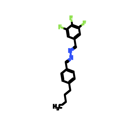 CCCCc1ccc(C=NN=Cc2cc(F)c(F)c(F)c2)cc1